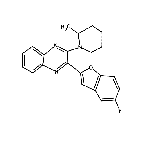 CC1CCCCN1c1nc2ccccc2nc1-c1cc2cc(F)ccc2o1